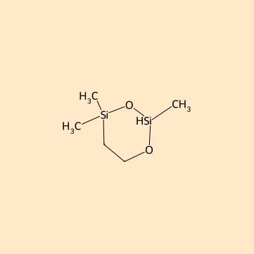 C[SiH]1OCC[Si](C)(C)O1